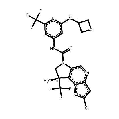 C[C@@]1(C(F)(F)F)CN(C(=O)Nc2cc(NC3COC3)nc(C(F)(F)F)c2)c2cnc3cc(Cl)nn3c21